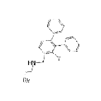 OCCNCc1ccc(-c2ccccc2)c(-c2ccccc2)c1F